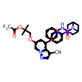 CC(C)(COc1cc(-c2ccc(N3CC4CC(C3)N4C(=O)Nc3ccccc3)nc2)c2c(C#N)cnn2c1)OC(=O)C(F)(F)F